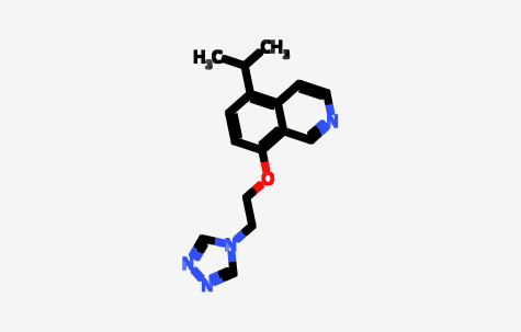 CC(C)c1ccc(OCCn2cnnc2)c2cnccc12